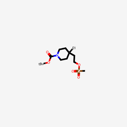 CCC1(CCOS(C)(=O)=O)CCN(C(=O)OC(C)(C)C)CC1